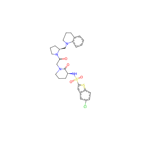 O=C1[C@@H](NS(=O)(=O)c2cc3cc(Cl)ccc3s2)CCCN1CC(=O)N1CCC[C@H]1CN1CCCc2ccccc21